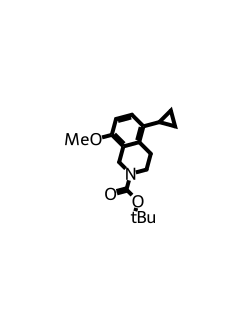 COc1ccc(C2CC2)c2c1CN(C(=O)OC(C)(C)C)CC2